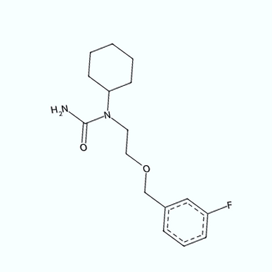 NC(=O)N(CCOCc1cccc(F)c1)C1CCCCC1